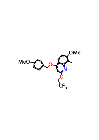 COc1ccc(COc2cc(OCC(F)(F)F)nc3c(C)c(OC)ccc23)cc1